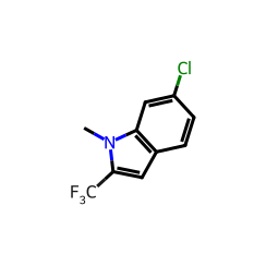 Cn1c(C(F)(F)F)cc2ccc(Cl)cc21